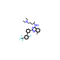 CCN(CC)CCCC(C)Nc1nc(-c2cccc(-c3cc(C(F)(F)F)ccc3F)c2)nc2c(C)cccc12